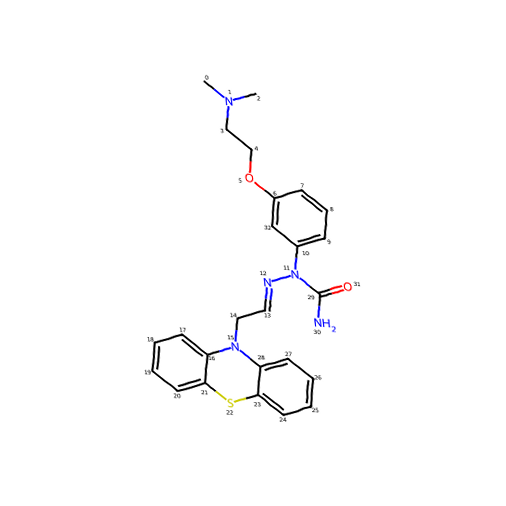 CN(C)CCOc1cccc(N(N=CCN2c3ccccc3Sc3ccccc32)C(N)=O)c1